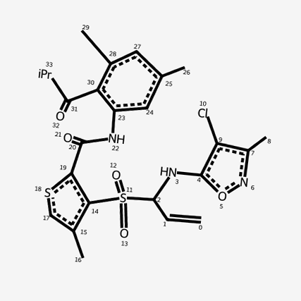 C=CC(Nc1onc(C)c1Cl)S(=O)(=O)c1c(C)csc1C(=O)Nc1cc(C)cc(C)c1C(=O)C(C)C